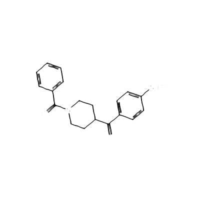 CC(=O)Nc1ccc(C(=O)C2CCN(C(=O)c3ccccc3)CC2)cc1